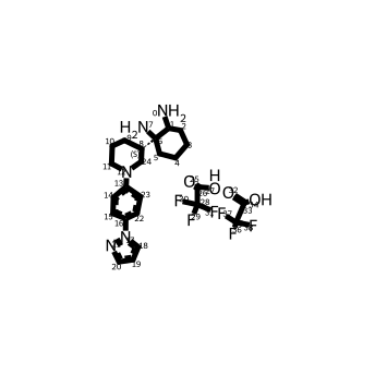 NC1CCCCC1(N)[C@H]1CCCN(c2ccc(-n3cccn3)cc2)C1.O=C(O)C(F)(F)F.O=C(O)C(F)(F)F